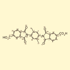 Cc1cc(N2C(=O)c3ccc(C(=O)O)cc3C2=O)c(C)cc1N1C(=O)c2ccc(C(=O)O)cc2C1=O